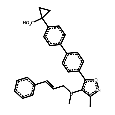 Cc1noc(-c2ccc(-c3ccc(C4(C(=O)O)CC4)cc3)cc2)c1N(C)CC=Cc1ccccc1